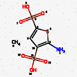 C.Nc1sc(S(=O)(=O)O)cc1S(=O)(=O)O